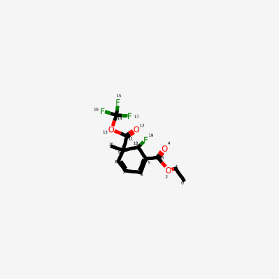 CCOC(=O)C1=CC=CC(C)(C(=O)OC(F)(F)F)C1F